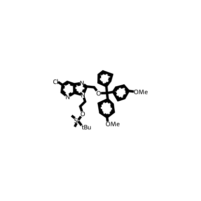 COc1ccc(C(OCc2nc3cc(Cl)cnc3n2CCO[Si](C)(C)C(C)(C)C)(c2ccccc2)c2ccc(OC)cc2)cc1